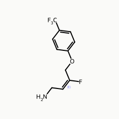 NC/C=C(/F)COc1ccc(C(F)(F)F)cc1